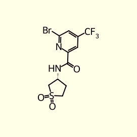 O=C(N[C@@H]1CCS(=O)(=O)C1)c1cc(C(F)(F)F)cc(Br)n1